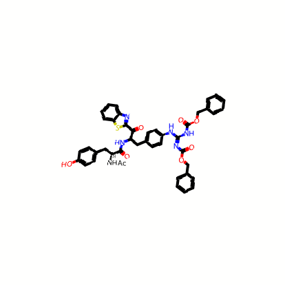 CC(=O)N[C@@H](Cc1ccc(O)cc1)C(=O)NC(Cc1ccc(NC(=NC(=O)OCc2ccccc2)NC(=O)OCc2ccccc2)cc1)C(=O)c1nc2ccccc2s1